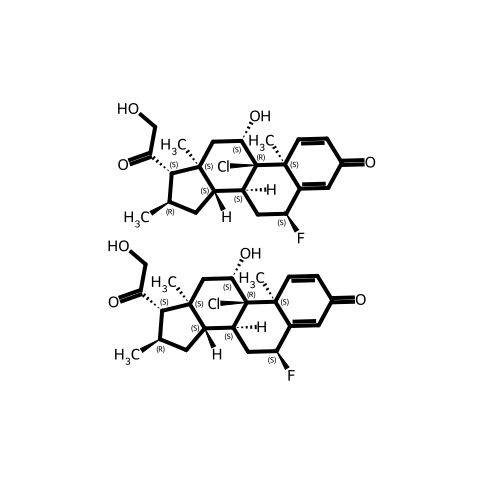 C[C@@H]1C[C@H]2[C@@H]3C[C@H](F)C4=CC(=O)C=C[C@]4(C)[C@@]3(Cl)[C@@H](O)C[C@]2(C)[C@H]1C(=O)CO.C[C@@H]1C[C@H]2[C@@H]3C[C@H](F)C4=CC(=O)C=C[C@]4(C)[C@@]3(Cl)[C@@H](O)C[C@]2(C)[C@H]1C(=O)CO